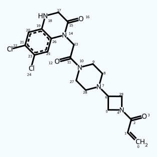 C=CC(=O)N1CC(N2CCN(C(=O)CN3C(=O)CNc4cc(Cl)c(Cl)cc43)CC2)C1